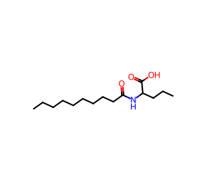 CCCCCCCCCC(=O)NC(CCC)C(=O)O